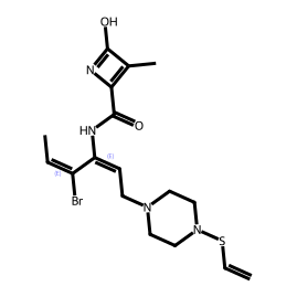 C=CSN1CCN(C/C=C(NC(=O)C2=C(C)C(O)=N2)\C(Br)=C/C)CC1